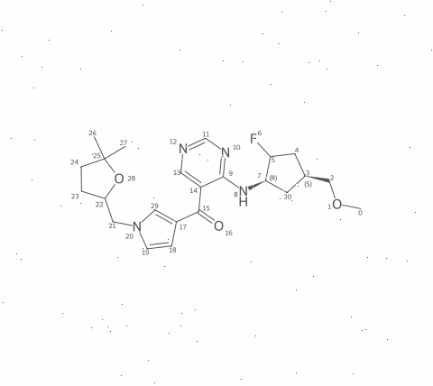 COC[C@@H]1CC(F)[C@H](Nc2ncncc2C(=O)c2ccn(CC3CCC(C)(C)O3)c2)C1